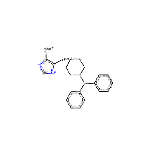 CCCCCc1nc[nH]c1CCCCC.c1ccc(B(c2ccccc2)C2CCCCC2)cc1